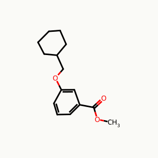 COC(=O)c1cccc(OCC2CCCCC2)c1